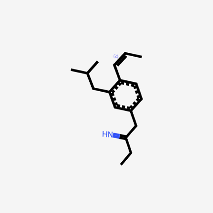 C/C=C\c1ccc(CC(=N)CC)cc1CC(C)C